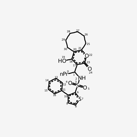 CCCC(NS(=O)(=O)c1sccc1-c1ccccc1)c1c(O)c2c(oc1=O)CCCCCC2